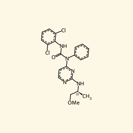 COC[C@H](C)Nc1nccc(N(C(=O)Nc2c(Cl)cccc2Cl)c2ccccc2)n1